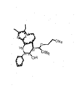 COCCOC(OC)[C@@H]1c2ccn3c(C)c(C)nc3c2N[C@H](c2ccccc2)[C@@H]1O